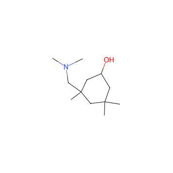 CN(C)CC1(C)CC(O)CC(C)(C)C1